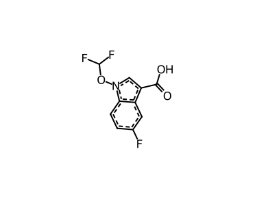 O=C(O)c1cn(OC(F)F)c2ccc(F)cc12